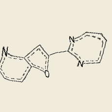 c1cnc(-c2cc3ncccc3o2)nc1